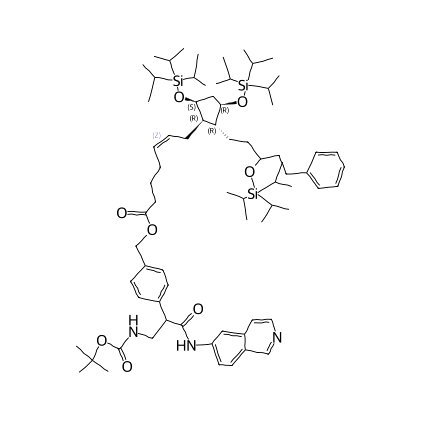 CC(C)[Si](OC(CCc1ccccc1)CC[C@@H]1[C@@H](C/C=C\CCCC(=O)OCc2ccc(C(CNC(=O)OC(C)(C)C)C(=O)Nc3ccc4cnccc4c3)cc2)[C@@H](O[Si](C(C)C)(C(C)C)C(C)C)C[C@H]1O[Si](C(C)C)(C(C)C)C(C)C)(C(C)C)C(C)C